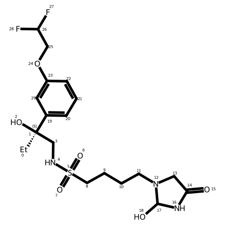 CC[C@@](O)(CNS(=O)(=O)CCCCN1CC(=O)NC1O)c1cccc(OCC(F)F)c1